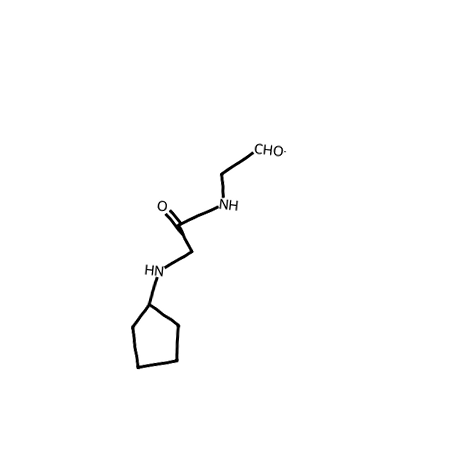 O=[C]CNC(=O)CNC1CCCC1